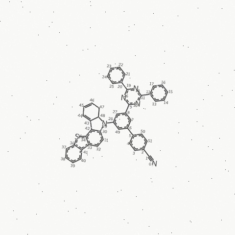 N#Cc1ccc(-c2cc(-c3nc(-c4ccccc4)nc(-c4ccccc4)n3)cc(N3c4ccc5c(sc6ccccc65)c4C4=CC=CCC43)c2)cc1